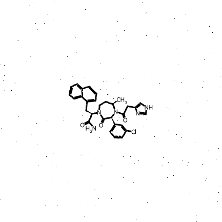 C[C@@H]1CCN([C@H](Cc2cccc3ccccc23)C(N)=O)C(=O)[C@H](c2cccc(Cl)c2)N1C(=O)Cc1c[nH]cn1